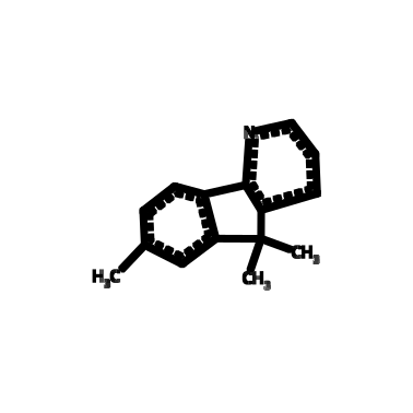 Cc1ccc2c(c1)C(C)(C)c1cccnc1-2